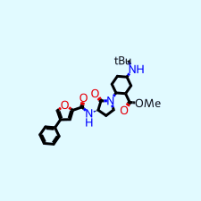 COC(=O)C1CC(NC(C)(C)C)CCC1N1CC[C@H](NC(=O)c2cc(-c3ccccc3)co2)C1=O